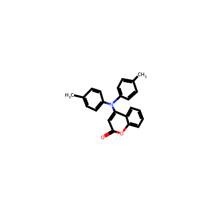 Cc1ccc(N(c2ccc(C)cc2)c2cc(=O)oc3ccccc23)cc1